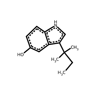 CCC(C)(C)c1c[nH]c2ccc(O)cc12